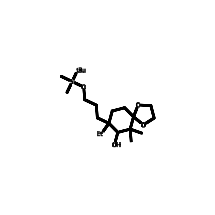 CCC1(CCCO[Si](C)(C)C(C)(C)C)CCC2(OCCO2)C(C)(C)C1O